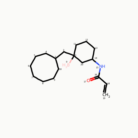 BC1(CC2CCCCCCC2)CCCC(NC(=O)C=C)C1